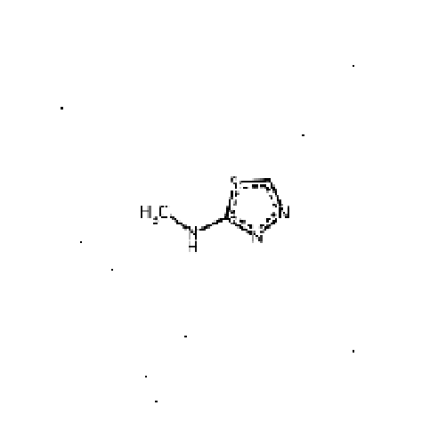 CNc1nncs1